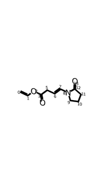 C=COC(=O)CC=CN1CCCC1=O